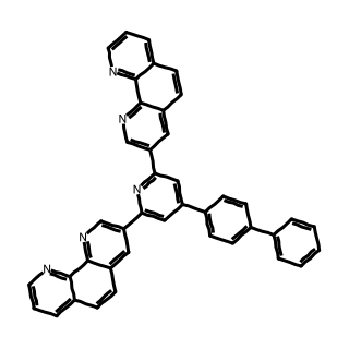 c1ccc(-c2ccc(-c3cc(-c4cnc5c(ccc6cccnc65)c4)nc(-c4cnc5c(ccc6cccnc65)c4)c3)cc2)cc1